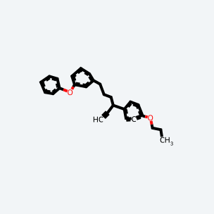 C#CC(CCCc1cccc(Oc2ccccc2)c1)c1ccc(OCCC)cc1